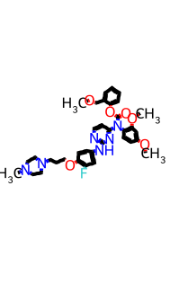 COCc1ccccc1OC(=O)N(c1ccnc(Nc2ccc(OCCCN3CCN(C)CC3)c(F)c2)n1)c1ccc(OC)cc1OC